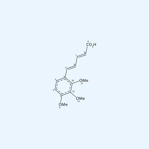 COc1ccc(C=CC=CC(=O)O)c(OC)c1OC